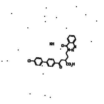 O=C(CC(CCn1nnc2ccccc2c1=O)C(=O)O)c1ccc(-c2ccc(Cl)cc2)cc1.[KH]